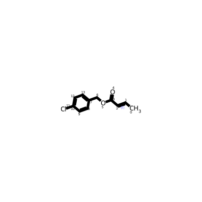 C/C=C/C(=O)OCc1ccc(Cl)cc1